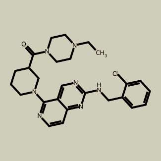 CCN1CCN(C(=O)C2CCCN(c3nccc4nc(NCc5ccccc5Cl)ncc34)C2)CC1